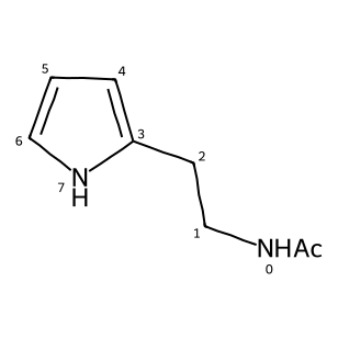 CC(=O)NCCc1ccc[nH]1